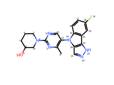 Cc1nc(N2CCCC(O)C2)ncc1-n1c2ccc(F)cc2c2[nH]ncc21